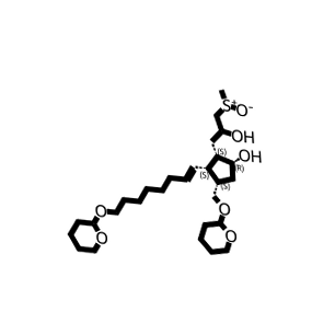 C[S+]([O-])CC(O)C[C@H]1[C@@H](C=CCCCCCCOC2CCCCO2)[C@@H](COC2CCCCO2)C[C@H]1O